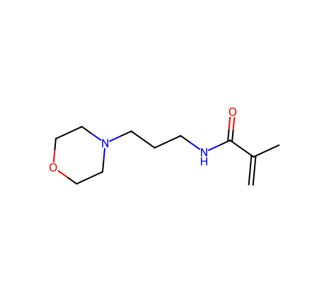 C=C(C)C(=O)NCCCN1CCOCC1